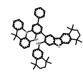 CC1(C)CCC(C)(C)c2cc(Nc3cc4oc5cc6c(cc5c4cc3-c3cc(-c4ccccc4)cc4c3Bc3cccc5c3N4c3ccccc3C5(C)C)C(C)(C)CCC6(C)C)ccc21